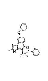 COC(=O)c1c(OCc2ccccc2)c2ccc(Oc3ccccc3)cc2c2nc(C)nn12